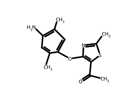 CC(=O)c1sc(C)nc1Oc1cc(C)c(N)cc1C